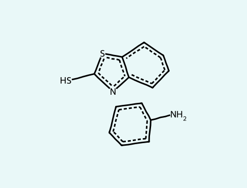 Nc1ccccc1.Sc1nc2ccccc2s1